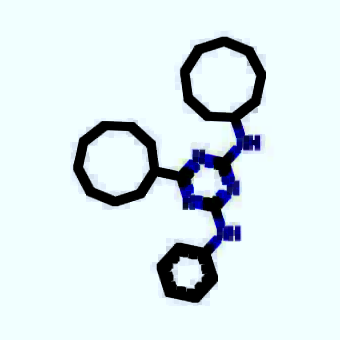 c1ccc(Nc2nc(NC3CCCCCCCC3)nc(C3CCCCCCCC3)n2)cc1